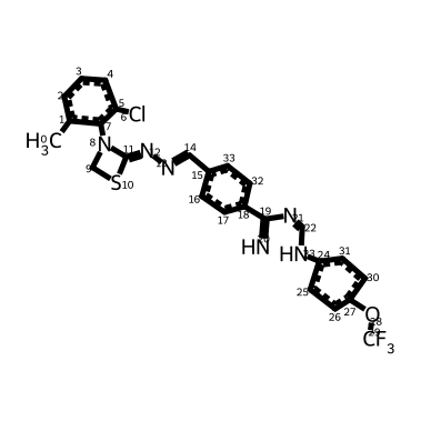 Cc1cccc(Cl)c1N1CS/C1=N\N=C\c1ccc(C(=N)/N=C\Nc2ccc(OC(F)(F)F)cc2)cc1